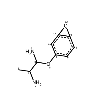 CC(N)C(N)Oc1ccc2c(c1)O2